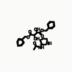 CC(=O)N[C@@H]1CCCNC1.O=C(OCc1ccccc1)C(O)C(O)C(=O)OCc1ccccc1